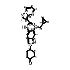 O=C1CCC(n2cc3cc(NC(=O)c4cnn5cccnc45)c(OCC4CC4)cc3n2)CC1